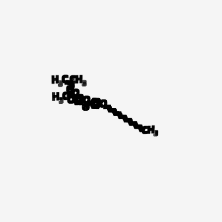 CCCCCCCCCCCCCCCCOc1ccc(C(=O)Oc2ccc(O[C@@H](C)C(=O)OC[C@@H](C)CC)cc2)cc1